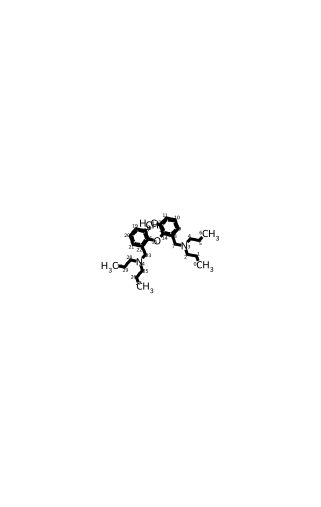 CCCN(CCC)Cc1cccc(C)c1Oc1c(C)cccc1CN(CCC)CCC